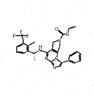 CCOC(=O)N1Cc2c(N[C@H](C)c3cccc(C(F)(F)F)c3C)nc3ncc(-c4ccccc4)n3c2C1